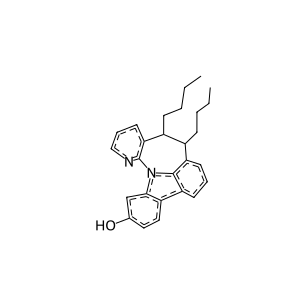 CCCCC1c2cccnc2-n2c3cc(O)ccc3c3cccc(c32)C1CCCC